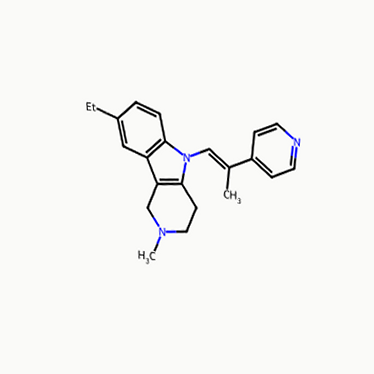 CCc1ccc2c(c1)c1c(n2C=C(C)c2ccncc2)CCN(C)C1